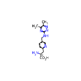 Cc1nnc(NCc2ccc(C[C@H](N)C(=O)O)nc2)nc1C